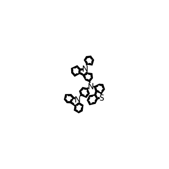 c1ccc(-n2c3ccccc3c3cc(N(c4ccc(-n5c6ccccc6c6ccccc65)cc4)c4cccc5sc6ccccc6c45)ccc32)cc1